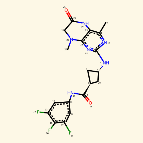 Cc1nc(N[C@H]2C[C@H](C(=O)Nc3cc(F)c(F)c(F)c3)C2)nc2c1NC(=O)CN2C